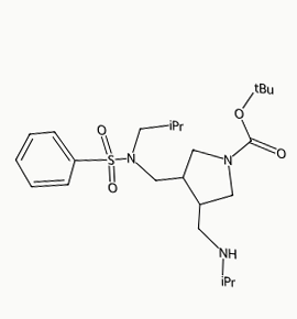 CC(C)CN(CC1CN(C(=O)OC(C)(C)C)CC1CNC(C)C)S(=O)(=O)c1ccccc1